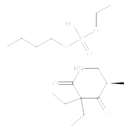 CCC1(CC)C(=O)NC[C@@H](C)C1=O.CCCCOP(=O)(O)OCC